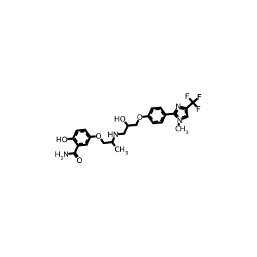 CC(COc1ccc(O)c(C(N)=O)c1)NCC(O)COc1ccc(-c2nc(C(F)(F)F)cn2C)cc1